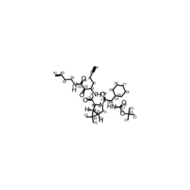 C#CCCC(NC(=O)[C@@H]1[C@@H]2[C@H](CN1C(=O)[C@@H](NC(=O)OC(C)(C)C)C1CCCCC1)C2(C)C)C(=O)C(=O)NCCC=C